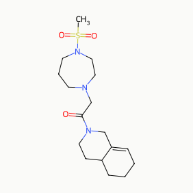 CS(=O)(=O)N1CCCN(CC(=O)N2CCC3CCCC=C3C2)CC1